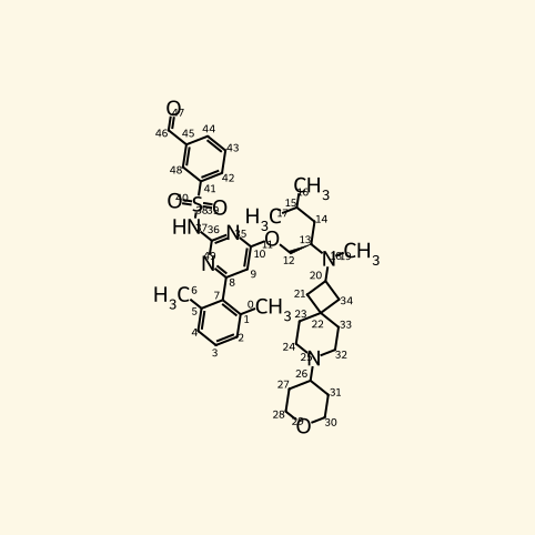 Cc1cccc(C)c1-c1cc(OC[C@@H](CC(C)C)N(C)C2CC3(CCN(C4CCOCC4)CC3)C2)nc(NS(=O)(=O)c2cccc(C=O)c2)n1